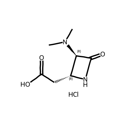 CN(C)[C@H]1C(=O)N[C@@H]1CC(=O)O.Cl